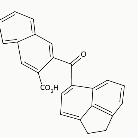 O=C(O)c1cc2ccccc2cc1C(=O)c1ccc2c3c(cccc13)CC2